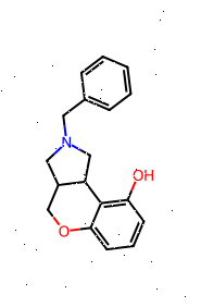 Oc1cccc2c1C1CN(Cc3ccccc3)CC1CO2